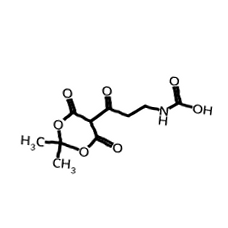 CC1(C)OC(=O)C(C(=O)CCNC(=O)O)C(=O)O1